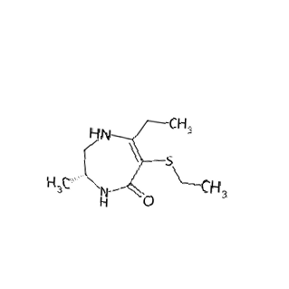 CCSC1=C(CC)NC[C@@H](C)NC1=O